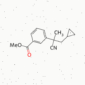 COC(=O)c1cccc(C(C)(C#N)CC2CC2)c1